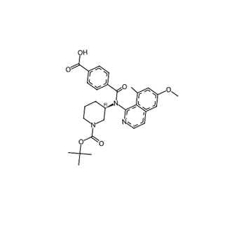 COc1cc(C)c2c(N(C(=O)c3ccc(C(=O)O)cc3)[C@@H]3CCCN(C(=O)OC(C)(C)C)C3)nccc2c1